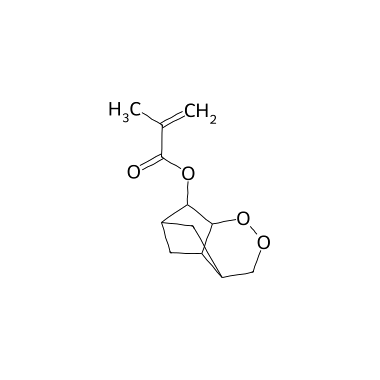 C=C(C)C(=O)OC1C2CC3COOC1C3C2